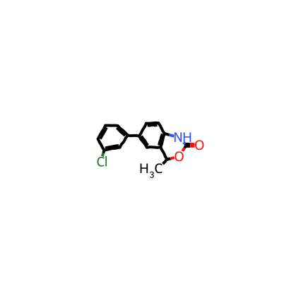 CC1OC(=O)Nc2ccc(-c3cccc(Cl)c3)cc21